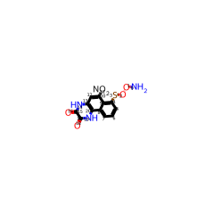 NOOSc1cccc2c1c([N+](=O)[O-])cc1[nH]c(=O)c(=O)[nH]c12